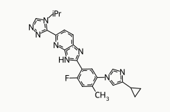 Cc1cc(F)c(-c2nc3ccc(-c4nncn4C(C)C)nc3[nH]2)cc1-n1cnc(C2CC2)c1